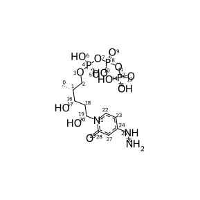 C[C@H](COP(=O)(O)OP(=O)(O)OP(=O)(O)O)[C@@H](O)C[C@@H](O)n1ccc(NN)cc1=O